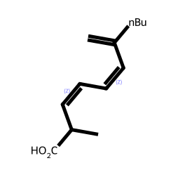 C=C(/C=C\C=C/C(C)C(=O)O)CCCC